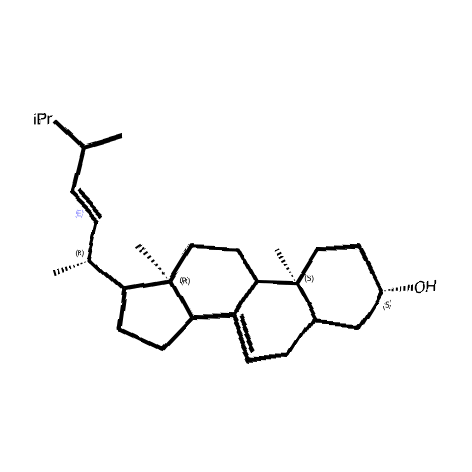 CC(C)C(C)/C=C/[C@@H](C)C1CCC2C3=CCC4C[C@@H](O)CC[C@]4(C)C3CC[C@@]21C